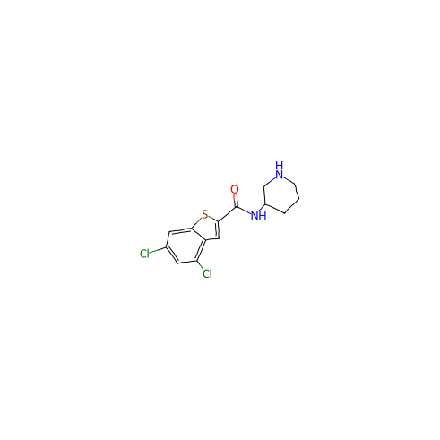 O=C(NC1CCCNC1)c1cc2c(Cl)cc(Cl)cc2s1